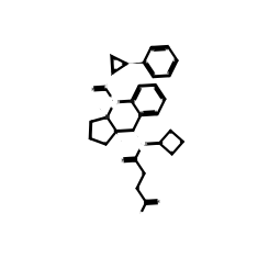 O=C(O)CCC(=O)N(C1CCC1)[C@H]1c2ccccc2N(C(=O)[C@@H]2C[C@H]2c2ccccc2)[C@@H]2CCC[C@@H]21